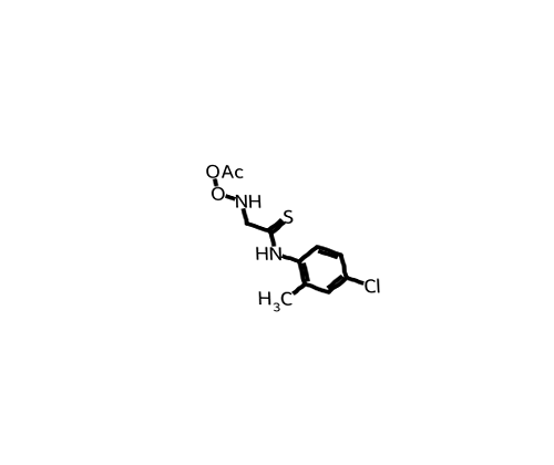 CC(=O)OONCC(=S)Nc1ccc(Cl)cc1C